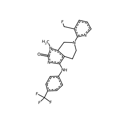 Cn1c2c(c(Nc3ccc(C(F)(F)F)cc3)nc1=O)CCN(c1ncccc1CF)C2